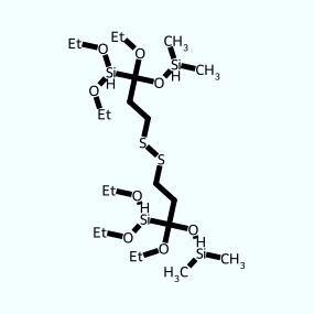 CCO[SiH](OCC)C(CCSSCCC(OCC)(O[SiH](C)C)[SiH](OCC)OCC)(OCC)O[SiH](C)C